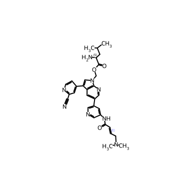 CC(C)C[C@H](N)C(=O)OCn1cc(-c2ccnc(C#N)c2)c2cc(-c3cncc(NC(=O)/C=C/CN(C)C)c3)cnc21